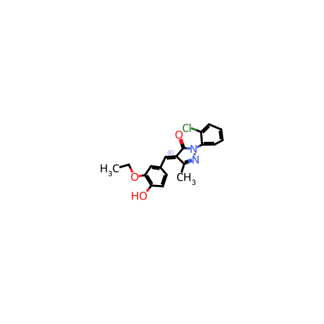 CCOc1cc(/C=C2/C(=O)N(c3ccccc3Cl)N=C2C)ccc1O